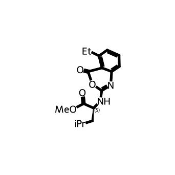 CCc1cccc2nc(N[C@@H](CC(C)C)C(=O)OC)oc(=O)c12